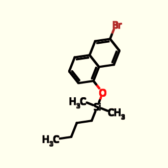 CCCC[Si](C)(C)Oc1cccc2cc(Br)ccc12